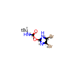 CC(C)(C)NC(=O)Oc1nc(Br)c(Br)[nH]1